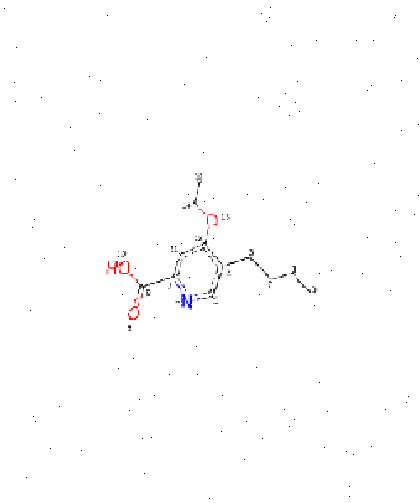 CCCCc1cnc(C(=O)O)cc1OCC